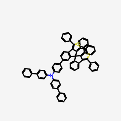 c1ccc(-c2ccc(N(c3ccc(-c4ccccc4)cc3)c3ccc(-c4ccc5c(c4)C4(c6ccccc6-c6c(-c7ccccc7)sc(-c7ccccc7)c64)c4c(-c6ccccc6)sc(-c6ccccc6)c4-5)cc3)cc2)cc1